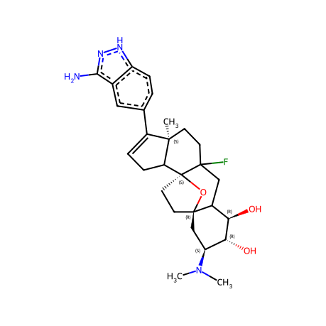 CN(C)[C@H]1C[C@@]23CC[C@]4(O2)C2CC=C(c5ccc6[nH]nc(N)c6c5)[C@@]2(C)CCC4(F)CC3[C@@H](O)[C@@H]1O